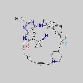 Cc1nc2c3cc(C4(C#N)CC4)c(=O)n(c3n1)CCCCC/C=C\CN1CCC(CC1)C(F)(F)c1cccc(c1)[C@@H](C)N2